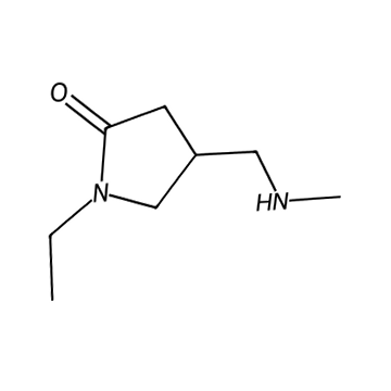 CCN1CC(CNC)CC1=O